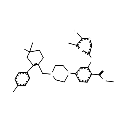 COC(=O)c1ccc(N2CCN(CC3=C(c4ccc(Cl)cc4)CC(C)(C)CC3)CC2)cc1Oc1cnc(N)c(C)c1